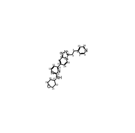 c1cc(CCc2nnc3cc(-c4ccnc(NC5CCOCC5)n4)ccn23)ccn1